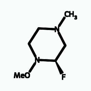 CON1CCN(C)C[C@H]1F